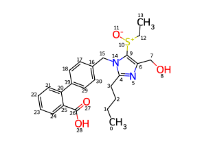 CCCCc1nc(CO)c([S+]([O-])CC)n1Cc1ccc(-c2ccccc2C(=O)O)cc1